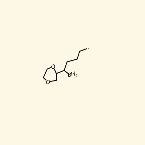 BC(CCC[CH2])C1COCCO1